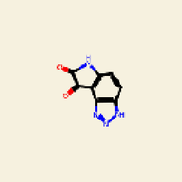 O=C1Nc2ccc3[nH]nnc3c2C1=O